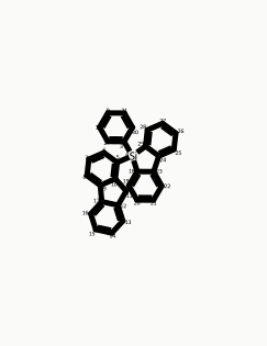 c1ccc([Si]2(c3cccc4c3Cc3ccccc3-4)c3ccccc3-c3ccccc32)cc1